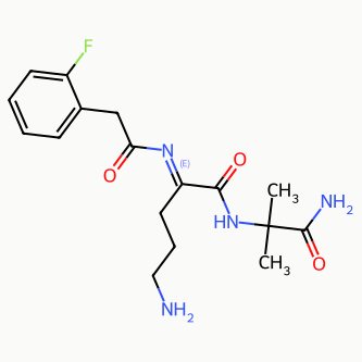 CC(C)(NC(=O)/C(CCCN)=N/C(=O)Cc1ccccc1F)C(N)=O